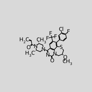 C=CC(=O)N1[C@H](C)CN(c2nc(=O)n3c4c(c(-c5ccc(F)c(Cl)c5)c(C(F)(F)F)cc24)SC[C@@H](OC)C3)C[C@@H]1C